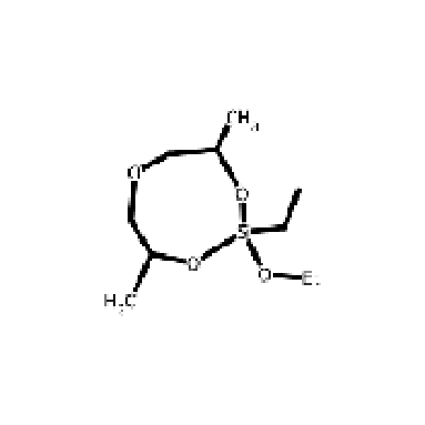 CCO[Si]1(CI)OC(C)COCC(C)O1